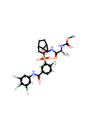 CC(C)OC(=O)N[C@@H](C)C(=O)NCC1(O)C2CCC1CC(S(=O)(=O)c1cc(C(=O)Nc3cc(F)c(F)c(F)c3)ccc1Cl)C2